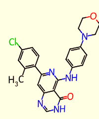 Cc1cc(Cl)ccc1-c1cc2nc[nH]c(=O)c2c(Nc2ccc(N3CCOCC3)cc2)n1